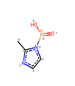 Cc1nccn1[PH](=O)O